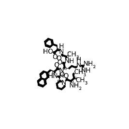 CC[C@@H](C)[C@@H](N)C(=O)N1CCCC[C@H]1C(=O)N[C@@H](Cc1ccc2ccccc2c1)C(=O)N[C@@H](CCCNC(=N)N)C(=O)N[C@@H](C)C(=O)N[C@H](Cc1ccccc1)C(=O)O